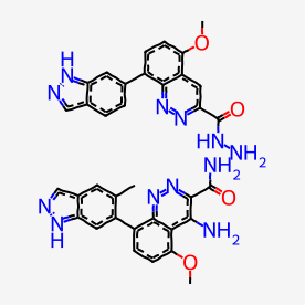 COc1ccc(-c2cc3[nH]ncc3cc2C)c2nnc(C(N)=O)c(N)c12.COc1ccc(-c2ccc3cn[nH]c3c2)c2nnc(C(=O)NN)cc12